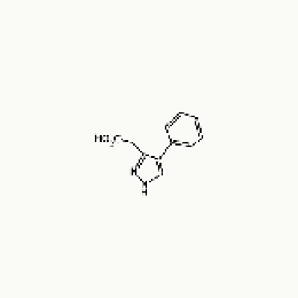 O=C(O)Cc1n[nH]cc1-c1ccccc1